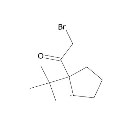 CC(C)(C)C1(C(=O)CBr)[CH]CCC1